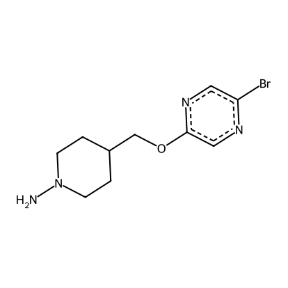 NN1CCC(COc2cnc(Br)cn2)CC1